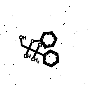 CC(C)(c1ccccc1)C(O)(CO)Oc1ccccc1